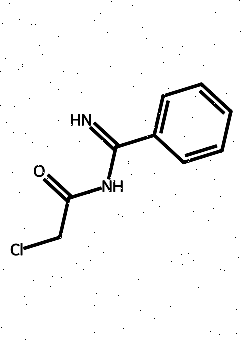 N=C(NC(=O)CCl)c1ccccc1